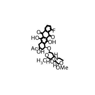 CO[C@H]1OCCN2[C@@H]1O[C@@H]1[C@H](C)O[C@@H](O[C@H]3C[C@](O)(C(C)=O)Cc4c(O)c5c(c(O)c43)C(=O)c3c(F)cccc3C5=O)C[C@@H]12